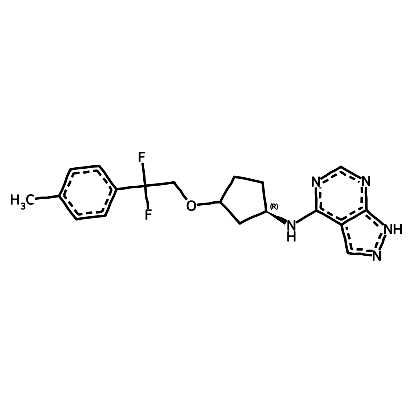 Cc1ccc(C(F)(F)COC2CC[C@@H](Nc3ncnc4[nH]ncc34)C2)cc1